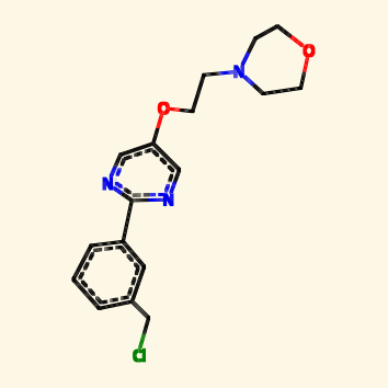 ClCc1cccc(-c2ncc(OCCN3CCOCC3)cn2)c1